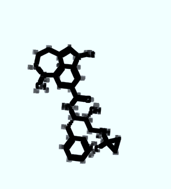 CCn1cc2c3c(cc(C(=O)N[C@@H](Cc4ccccc4)[C@H](O)CNC4(C)CC4)cc31)N(C)SCC2